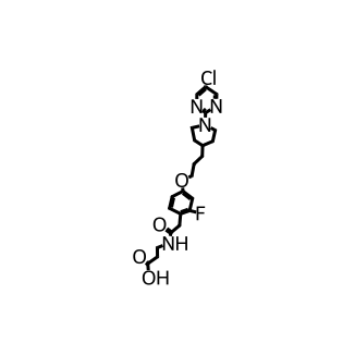 O=C(O)CCNC(=O)Cc1ccc(OCCCC2CCN(c3ncc(Cl)cn3)CC2)cc1F